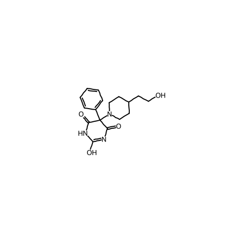 O=C1N=C(O)NC(=O)C1(c1ccccc1)N1CCC(CCO)CC1